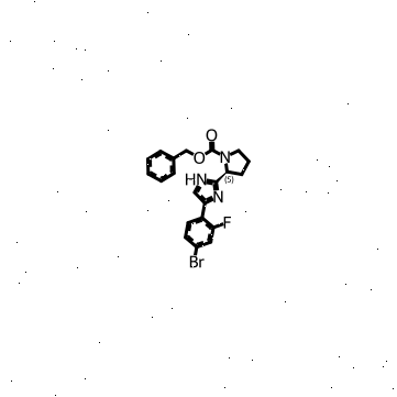 O=C(OCc1ccccc1)N1CCC[C@H]1c1nc(-c2ccc(Br)cc2F)c[nH]1